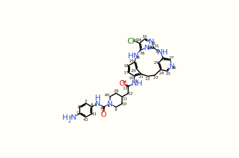 Nc1ccc(NC(=O)N2CCC(CC(=O)Nc3ccc4cc3CCc3cncc(c3)Nc3ncc(Cl)c(n3)N4)CC2)cc1